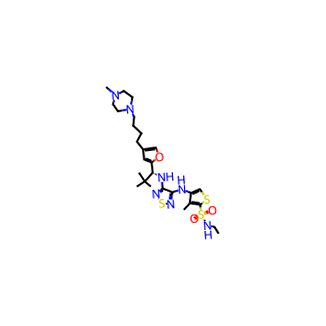 CCNS(=O)(=O)c1scc(Nc2nsnc2N[C@@H](c2cc(CCCCN3CCN(C)CC3)co2)C(C)(C)C)c1C